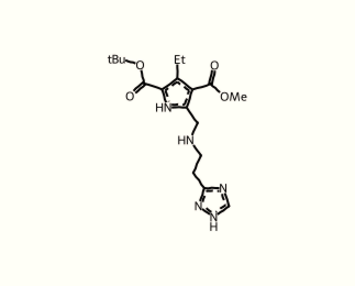 CCc1c(C(=O)OC(C)(C)C)[nH]c(CNCCc2nc[nH]n2)c1C(=O)OC